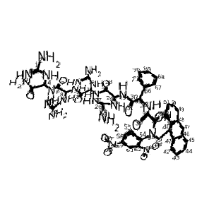 N=C(N)NC(NC(=O)C(NC(=N)N)NC(=O)C(NC(=N)N)NC(=O)C(NC(=N)N)NC(=O)C(NC(=O)C(O)N(Cc1c2ccccc2cc2ccccc12)c1ccc([N+](=O)[O-])cc1[N+](=O)[O-])c1ccccc1)C(N)=O